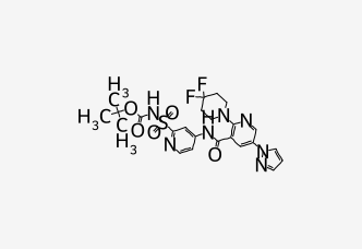 CC(C)(C)OC(=O)NS(=O)(=O)c1cc(NC(=O)c2cc(-n3cccn3)cnc2N2CCC(F)(F)CC2)ccn1